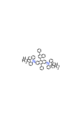 CC1(C)c2ccccc2N(c2ccc3c(-c4ccc(-c5ccccc5)c5ccccc45)c4cc(N5c6ccccc6C(C)(C)c6ccccc65)ccc4c(-c4ccccc4)c3c2)c2ccccc21